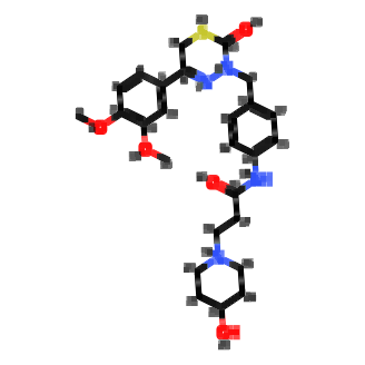 COc1ccc(C2=NN(Cc3ccc(NC(=O)CCN4CCC(O)CC4)cc3)C(=O)SC2)cc1OC